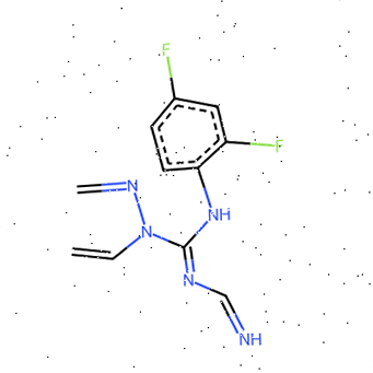 C=CN(N=C)/C(=N/C=N)Nc1ccc(F)cc1F